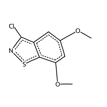 COc1cc(OC)c2snc(Cl)c2c1